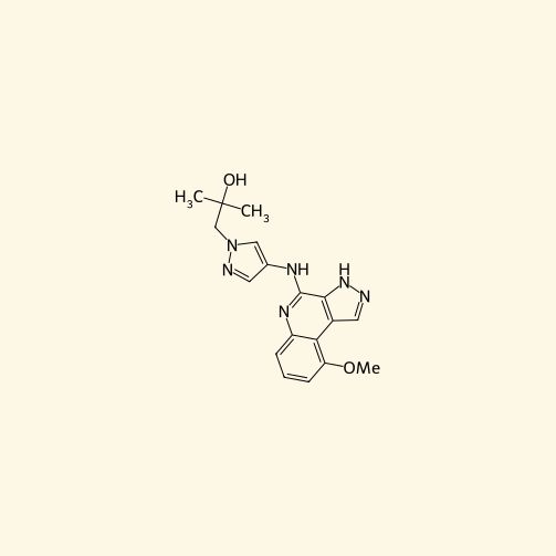 COc1cccc2nc(Nc3cnn(CC(C)(C)O)c3)c3[nH]ncc3c12